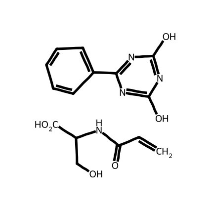 C=CC(=O)NC(CO)C(=O)O.Oc1nc(O)nc(-c2ccccc2)n1